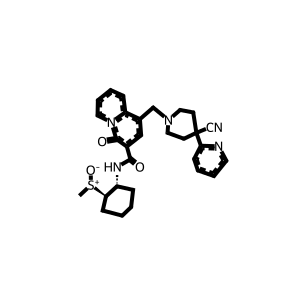 C[S+]([O-])[C@@H]1CCCC[C@H]1NC(=O)c1cc(CN2CCC(C#N)(c3ccccn3)CC2)c2ccccn2c1=O